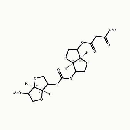 COC(=O)CC(=O)OC1CO[C@@H]2C(OC(=O)OC3CO[C@@H]4C(OC)CO[C@H]34)CO[C@H]12